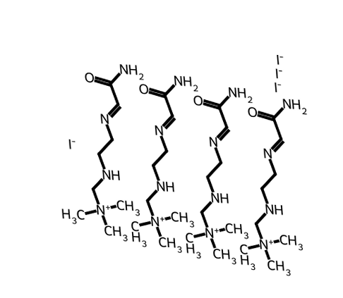 C[N+](C)(C)CNCCN=CC(N)=O.C[N+](C)(C)CNCCN=CC(N)=O.C[N+](C)(C)CNCCN=CC(N)=O.C[N+](C)(C)CNCCN=CC(N)=O.[I-].[I-].[I-].[I-]